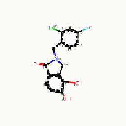 O=C1c2ccc(O)c(O)c2CN1Cc1ccc(F)cc1Cl